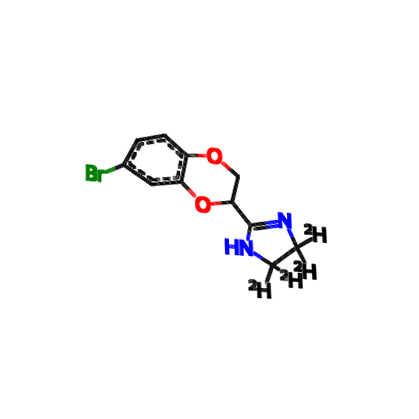 [2H]C1([2H])N=C(C2COc3ccc(Br)cc3O2)NC1([2H])[2H]